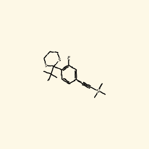 CC(C)(C)C1(c2ccc(C#C[Si](C)(C)C)cc2F)SCCCS1